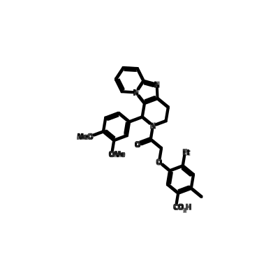 CCc1cc(C)c(C(=O)O)cc1OCC(=O)N1CCc2nc3ccccn3c2C1c1ccc(OC)c(OC)c1